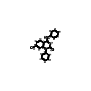 O=c1nc(Nc2ccncc2)c2ccc(Cl)cc2n1-c1ccccc1